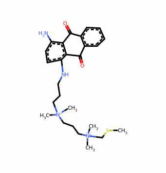 CSC[N+](C)(C)CCC[N+](C)(C)CCCNc1ccc(N)c2c1C(=O)c1ccccc1C2=O